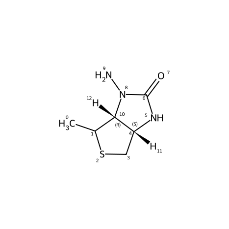 CC1SC[C@H]2NC(=O)N(N)[C@@H]12